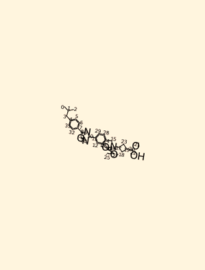 CC(C)Cc1ccc(-c2nc(-c3ccc(CN(C4CC(C(=O)O)C4)S(C)(=O)=O)cc3)no2)cc1